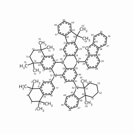 CC1(C)CCC(C)(C)c2cc(N3c4cc5c(cc4B4c6cc7c(cc6N(c6cccc8c6oc6ccccc68)c6cc(N8c9ccccc9C9(C)CCCCC89C)cc3c64)C(C)(C)c3ccccc3-7)C(C)(C)CCC5(C)C)ccc21